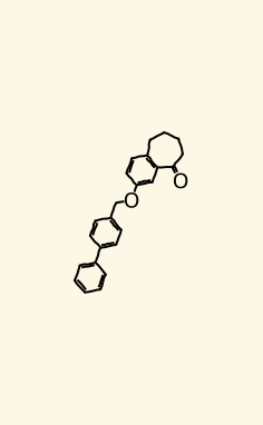 O=C1CCCCc2ccc(OCc3ccc(-c4ccccc4)cc3)cc21